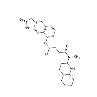 CCC(CCC(=O)N(C)C1CCC2CCCCC2N1)Oc1cccc2c1N=C1NC(=O)CN1C2